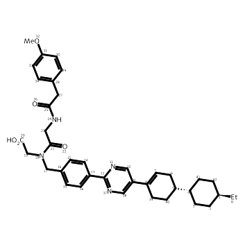 CC[C@H]1CC[C@H](C2CC=C(c3cnc(-c4ccc(CN(CC(=O)O)C(=O)CNC(=O)Cc5ccc(OC)cc5)cc4)nc3)CC2)CC1